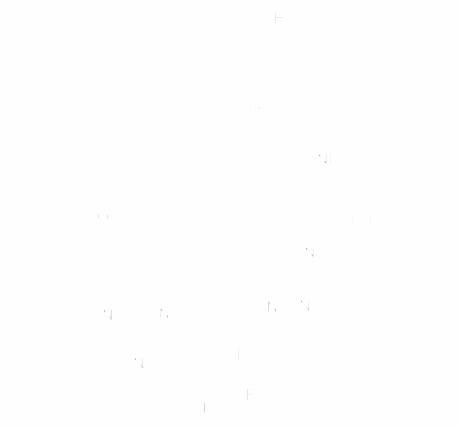 Cc1cccc(C(CO)NC(=O)C(C)n2cnn3cc(-c4nc(NC5CCOCC5)ncc4C(F)(F)F)cc3c2=O)c1